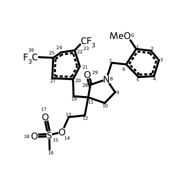 COc1ccccc1CN1CCC(CCOS(C)(=O)=O)(Cc2cc(C(F)(F)F)cc(C(F)(F)F)c2)C1=O